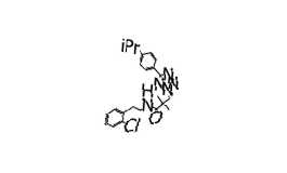 CC(C)c1ccc(-c2nnn(CC(C)(C)C(=O)NCCc3ccccc3Cl)n2)cc1